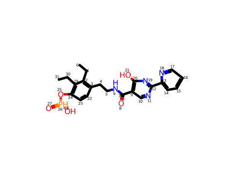 CCc1c(CCNC(=O)c2cnc(-c3ccccn3)nc2O)ccc(O[PH](=O)O)c1CC